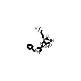 CCCCCn1c(=O)[nH]c(=O)c2[nH]c(-c3cnn(Cc4ccccc4)c3)nc21